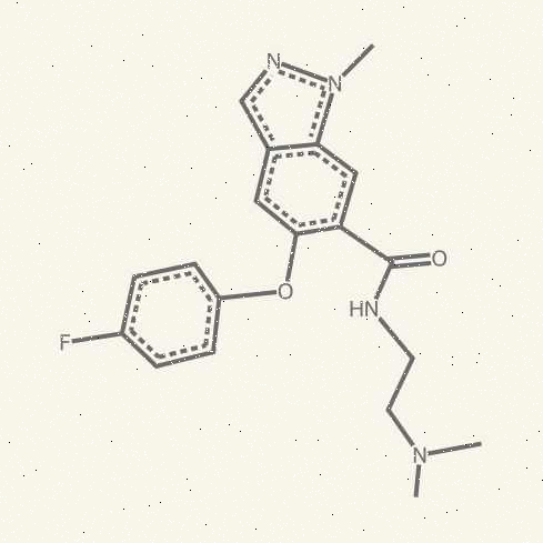 CN(C)CCNC(=O)c1cc2c(cnn2C)cc1Oc1ccc(F)cc1